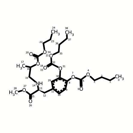 CCCCOC(=O)Oc1ccc(C[C@H](NCC(C)OC(=O)OCCC)C(=O)OC)cc1OC(=O)OCCCC